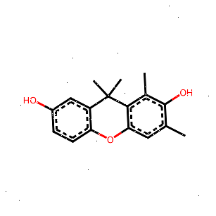 Cc1cc2c(c(C)c1O)C(C)(C)c1cc(O)ccc1O2